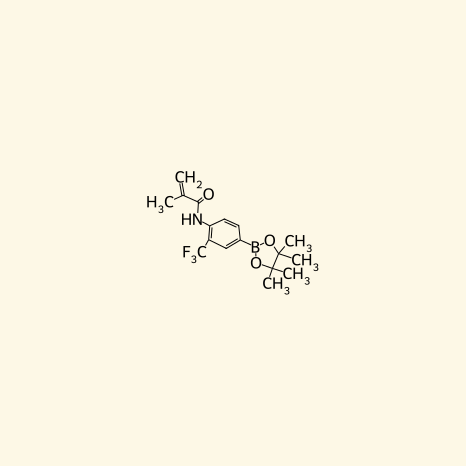 C=C(C)C(=O)Nc1ccc(B2OC(C)(C)C(C)(C)O2)cc1C(F)(F)F